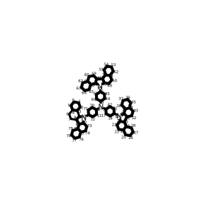 c1ccc2c(c1)CCc1c-2n(-c2ccc(N(c3ccc(-n4c5ccc6ccccc6c5c5ccc6ccccc6c54)cc3)c3ccc(-n4c5ccc6ccccc6c5c5ccc6ccccc6c54)cc3)cc2)c2ccc3ccccc3c12